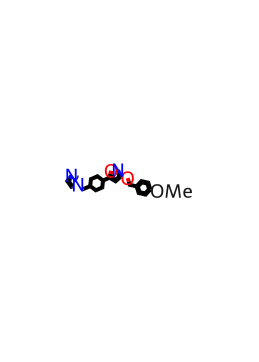 COc1ccc(COc2cc(C3CCC(Cn4ccnc4)CC3)on2)cc1